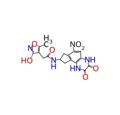 Cc1onc(O)c1CC(=O)NC1Cc2c([N+](=O)[O-])cc3[nH]c(=O)c(=O)[nH]c3c2C1